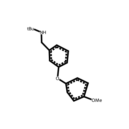 COc1ccc(Oc2cccc(CNC(C)(C)C)c2)cc1